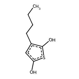 CCCCc1cc(O)sc1O